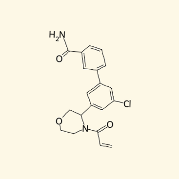 C=CC(=O)N1CCOCC1c1cc(Cl)cc(-c2cccc(C(N)=O)c2)c1